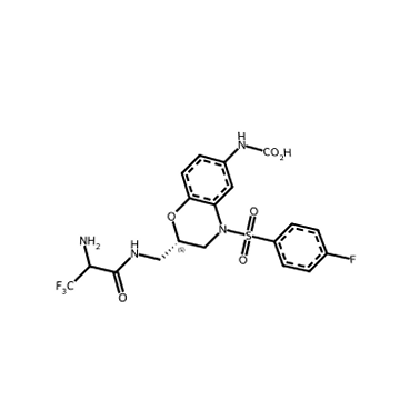 NC(C(=O)NC[C@H]1CN(S(=O)(=O)c2ccc(F)cc2)c2cc(NC(=O)O)ccc2O1)C(F)(F)F